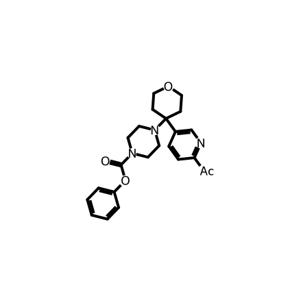 CC(=O)c1ccc(C2(N3CCN(C(=O)Oc4ccccc4)CC3)CCOCC2)cn1